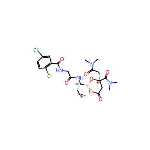 CC(C)C[C@H](NC(=O)CNC(=O)c1cc(Cl)ccc1Cl)B1OC(=O)C[C@](CC(=O)N(C)C)(C(=O)N(C)C)O1